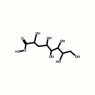 O=C(OO)C(O)CC(O)C(O)C(O)C(O)CO